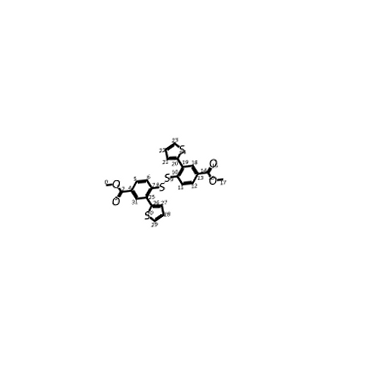 COC(=O)c1ccc(SSc2ccc(C(=O)OC)cc2-c2cccs2)c(-c2cccs2)c1